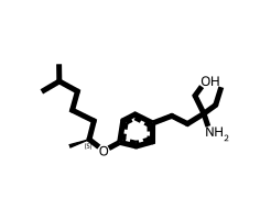 CCC(N)(CO)CCc1ccc(O[C@@H](C)CCCC(C)C)cc1